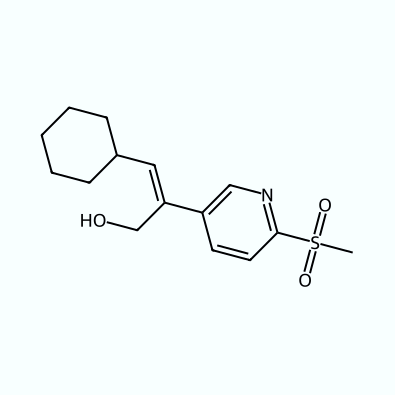 CS(=O)(=O)c1ccc(C(=CC2CCCCC2)CO)cn1